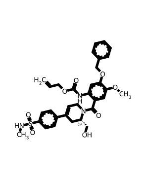 C=CCOC(=O)Nc1cc(OCc2ccccc2)c(OC)cc1C(=O)N1CC=C(c2ccc(S(=O)(=O)NC)cc2)C[C@H]1CO